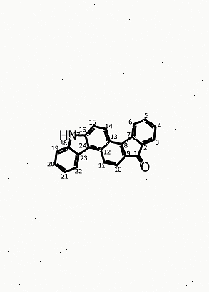 O=C1c2ccccc2-c2c1ccc1c2ccc2[nH]c3ccccc3c21